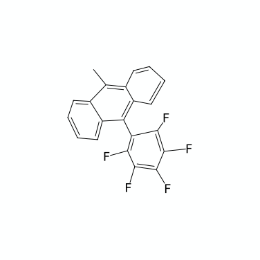 Cc1c2ccccc2c(-c2c(F)c(F)c(F)c(F)c2F)c2ccccc12